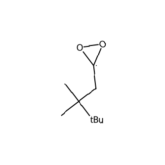 CC(C)(C)C(C)(C)C[C]1OO1